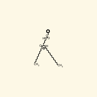 CCCCCCCCCCCCCCCC(=O)N[C@H](CCCCNC(=O)OCc1ccccc1)C(=O)NCCCCCCCCCCCC